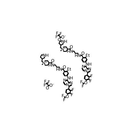 CCc1cc(Nc2nccn3c(-c4ccc(OC(F)F)c(F)c4F)cnc23)ccc1C(=O)NCCCNC(=O)C1CC[N+](C)(CC2CCNC2)CC1.CCc1cc(Nc2nccn3c(-c4ccc(OC(F)F)c(F)c4F)cnc23)ccc1C(=O)NCCCNC(=O)C1CC[N+](C)(CC2CCNC2)CC1.O=C([O-])C(F)(F)F.O=C([O-])C(F)(F)F